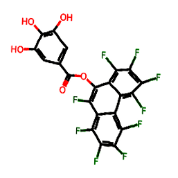 O=C(Oc1c(F)c2c(F)c(F)c(F)c(F)c2c2c(F)c(F)c(F)c(F)c12)c1cc(O)c(O)c(O)c1